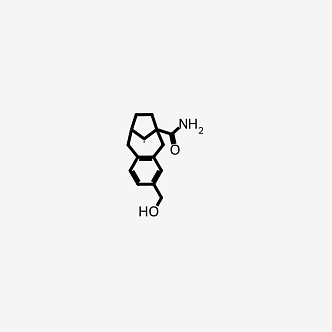 NC(=O)C12[CH]C(CC1)Cc1ccc(CO)cc1C2